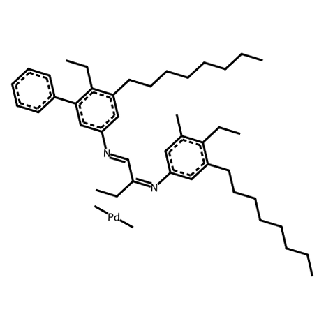 CCCCCCCCc1cc(N=C(C=Nc2cc(CCCCCCCC)c(CC)c(-c3ccccc3)c2)CC)cc(C)c1CC.[CH3][Pd][CH3]